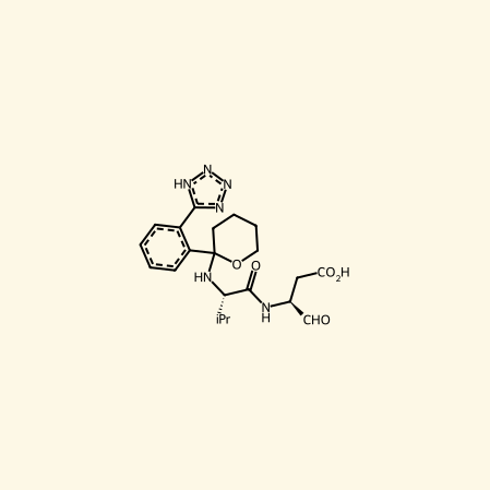 CC(C)[C@H](NC1(c2ccccc2-c2nnn[nH]2)CCCCO1)C(=O)N[C@H](C=O)CC(=O)O